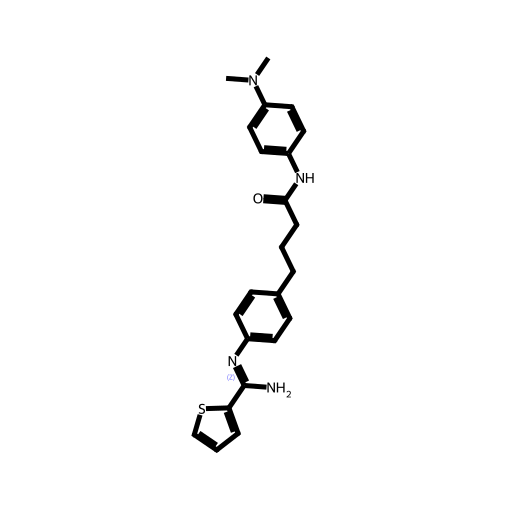 CN(C)c1ccc(NC(=O)CCCc2ccc(/N=C(\N)c3cccs3)cc2)cc1